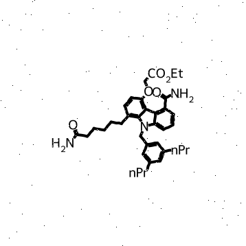 CCCc1cc(CCC)cc(Cn2c3cccc(C(N)=O)c3c3c(OCC(=O)OCC)ccc(CCCCCC(N)=O)c32)c1